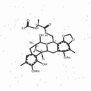 CCC(=O)N[C@@H](C)C(=O)NC[C@H]1c2c(c(OC(C)=O)c(C)c3c2OCO3)CC2[C@@H]3c4c(cc(C)c(OC)c4O)C[C@@H](C(O)N21)N3C